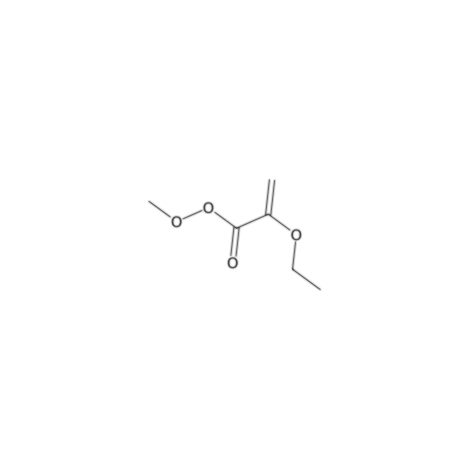 C=C(OCC)C(=O)OOC